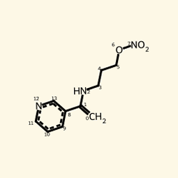 C=C(NCCCO[N+](=O)[O-])c1cccnc1